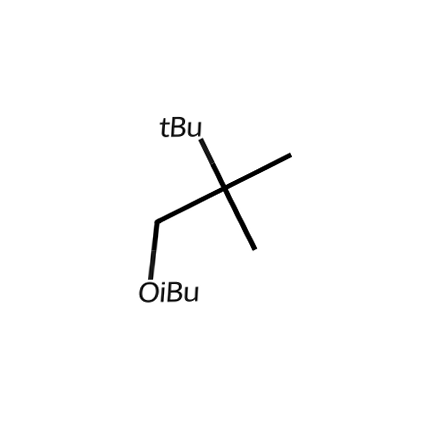 CC(C)COCC(C)(C)C(C)(C)C